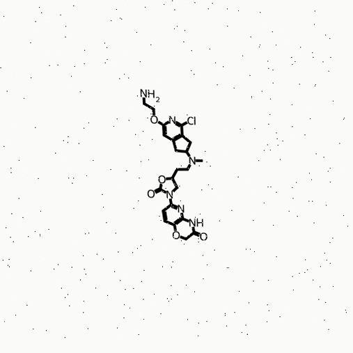 CN(CCC1CN(c2ccc3c(n2)NC(=O)CO3)C(=O)O1)C1Cc2cc(OCCN)nc(Cl)c2C1